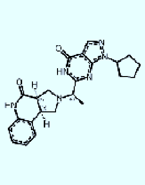 C[C@H](c1nc2c(cnn2C2CCCC2)c(=O)[nH]1)N1C[C@@H]2C(=O)Nc3ccccc3[C@@H]2C1